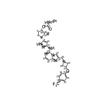 CC(C)NC(=O)O[C@H]1CC[C@@H](c2cc(Nc3nccc4nc(CN5CC(Oc6ccc(C(F)(F)F)cc6)C5)cn34)n[nH]2)[C@H]1F